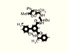 CCCC[C@@H](CN[C@@H](C)C(=O)N[C@H](C(=O)NC)C(C)C)NC(=O)c1cc(C(=O)N[C@H](C)c2ccccc2)cc(-c2cc(C)ccc2C#N)c1